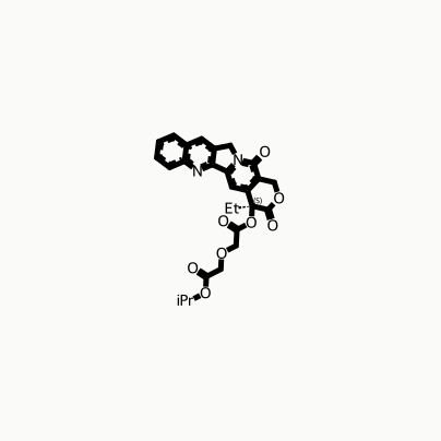 CC[C@@]1(OC(=O)COCC(=O)OC(C)C)C(=O)OCc2c1cc1n(c2=O)Cc2cc3ccccc3nc2-1